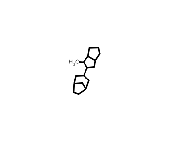 CC1C2CCCC2CC1C1CC2CCC(C2)C1